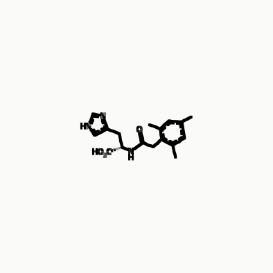 Cc1cc(C)c(CC(=O)N[C@@H](Cc2c[nH]cn2)C(=O)O)c(C)c1